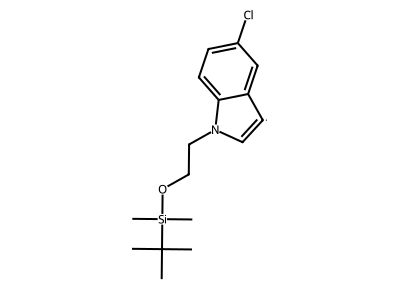 CC(C)(C)[Si](C)(C)OCCn1c[c]c2cc(Cl)ccc21